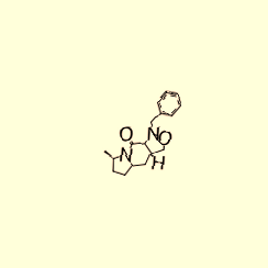 C[C@@H]1CCC2C[C@H]3CON(Cc4ccccc4)C3C(=O)N21